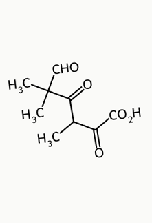 CC(C(=O)C(=O)O)C(=O)C(C)(C)C=O